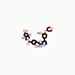 COc1cc(C(=O)N2C[C@H]3CC(O)C[C@H]3C2)ccc1-c1cc2nccc(-c3ccc(OC4CCOCC4)c(C#N)c3)c2o1